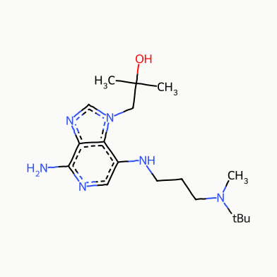 CN(CCCNc1cnc(N)c2ncn(CC(C)(C)O)c12)C(C)(C)C